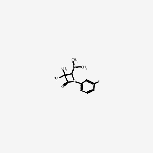 CN(C)C1N(c2cccc(F)c2)C(=O)C1(C)C